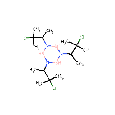 CC(N1BN(C(C)C(C)(C)Cl)BN(C(C)C(C)(C)Cl)B1)C(C)(C)Cl